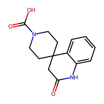 O=C1CC2(CCN(C(=O)O)CC2)c2ccccc2N1